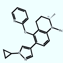 CC(=O)N1c2ccc(-c3cnn(C4CC4)c3)c(Oc3ccccn3)c2CC[C@@H]1C